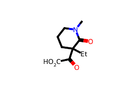 CCC1(C(=O)C(=O)O)CCCN(C)C1=O